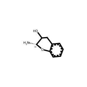 N[C@H]1Oc2ccccc2CC1O